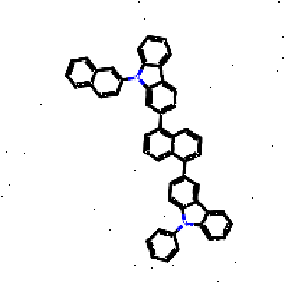 c1ccc(-n2c3ccccc3c3cc(-c4cccc5c(-c6ccc7c8ccccc8n(-c8ccc9ccccc9c8)c7c6)cccc45)ccc32)cc1